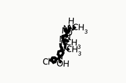 CCNc1nnc(-c2cnc(N3CCN(C4CCN([C@@H](CO)c5ccc(Cl)cc5)CC4)[C@@H](CC)C3)c(C)n2)o1